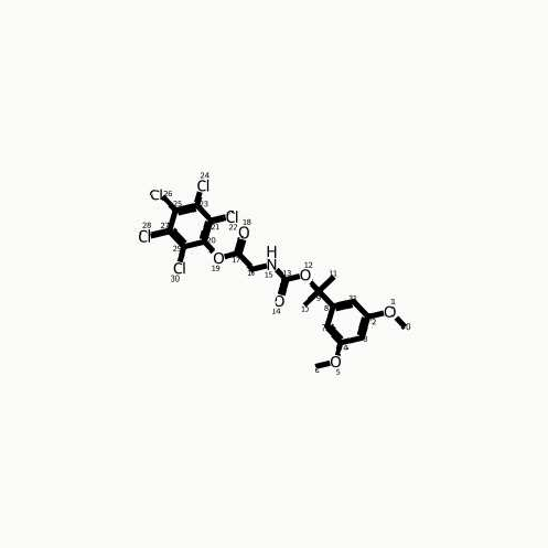 COc1cc(OC)cc(C(C)(C)OC(=O)NCC(=O)Oc2c(Cl)c(Cl)c(Cl)c(Cl)c2Cl)c1